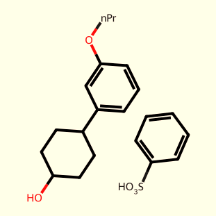 CCCOc1cccc(C2CCC(O)CC2)c1.O=S(=O)(O)c1ccccc1